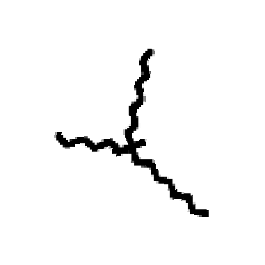 CCCCCCCCC(C)(CCCCCC)CCCCCCCC